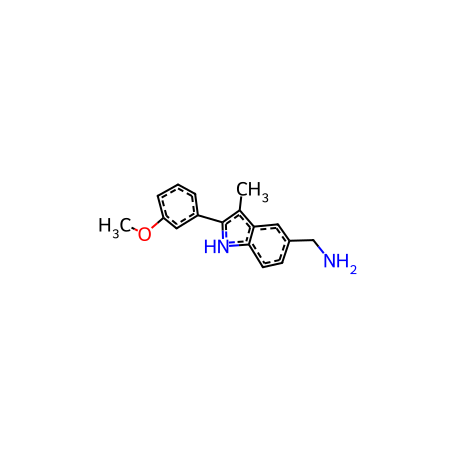 COc1cccc(-c2[nH]c3ccc(CN)cc3c2C)c1